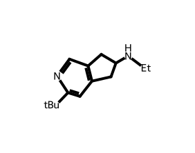 CCNC1Cc2cnc(C(C)(C)C)cc2C1